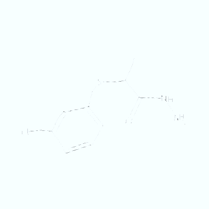 CC(Sc1cccc(Cl)c1)C(=O)NN